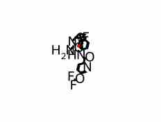 NC1=N[C@@]2(c3cc(NC(=O)c4ccc(OC(F)F)cn4)ccc3F)C3CC32CO1